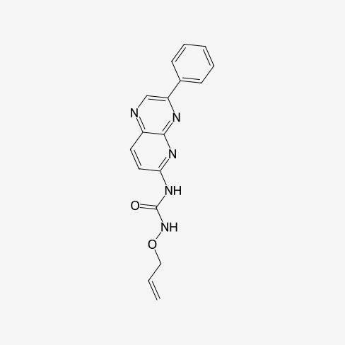 C=CCONC(=O)Nc1ccc2ncc(-c3ccccc3)nc2n1